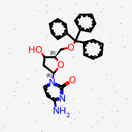 Nc1ccn([C@H]2CC(O)[C@@H](COC(c3ccccc3)(c3ccccc3)c3ccccc3)O2)c(=O)n1